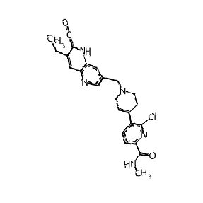 CCC1=Cc2ncc(CN3CC=C(c4ccc(C(=O)NC)nc4Cl)CC3)cc2NC1=C=O